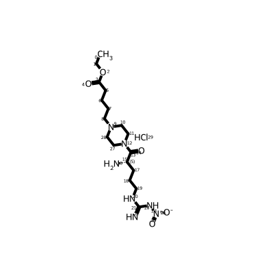 CCOC(=O)CCCCN1CCN(C(=O)[C@@H](N)CCCNC(=N)N[N+](=O)[O-])CC1.Cl